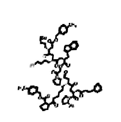 CC(=O)[C@@H]1CCCN1C(=O)[C@H](CC(=O)CCc1ccccc1)CC(=O)[C@H](CCCCCC(=O)C1CCCC1C(=O)OCc1ccc(C)cc1)CC(=O)[C@@H]1CCCN1C(=O)COC(=O)[C@@H](CC(=O)[C@H](CCCCC(C)C)CC(=O)[C@H](CCCC(C)(C)C)CC(=O)OCc1ccc(C)cc1)CC1=CCc2ccccc21